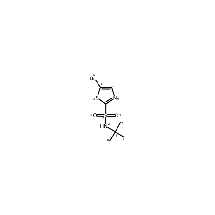 CC(C)(C)NS(=O)(=O)c1ncc(Br)s1